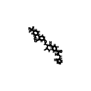 CC(C)[C@@H](COc1ccc(-c2ccc(C(F)(F)F)cc2Cl)c(Cl)c1)Nc1ccc(C(=O)NCc2nnn[nH]2)cc1